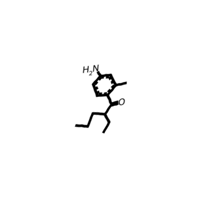 CCCC(CC)C(=O)c1ccc(N)cc1C